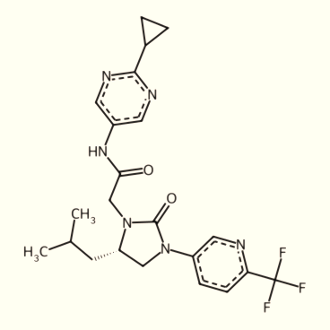 CC(C)C[C@H]1CN(c2ccc(C(F)(F)F)nc2)C(=O)N1CC(=O)Nc1cnc(C2CC2)nc1